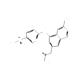 CCS(=O)(=O)c1ccc(Oc2cc(CC(=O)OC)cc3ccc(C#N)cc23)nc1